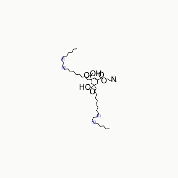 CCCCC/C=C\C/C=C\CCCCCCCCC1(C(=O)O)C=C(C(=O)OCCN(C)C)CC(CCCCCCCC/C=C\C/C=C\CCCCC)(C(=O)O)C1